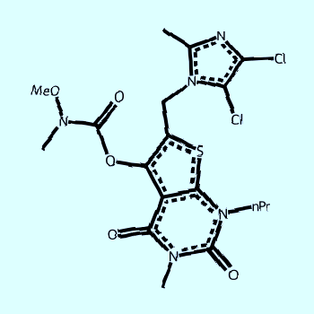 CCCn1c(=O)n(C)c(=O)c2c(OC(=O)N(C)OC)c(Cn3c(C)nc(Cl)c3Cl)sc21